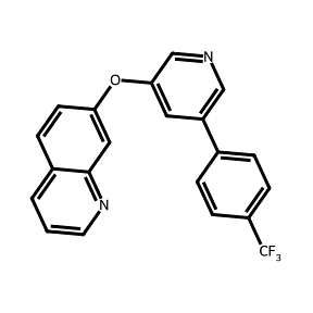 FC(F)(F)c1ccc(-c2cncc(Oc3ccc4cccnc4c3)c2)cc1